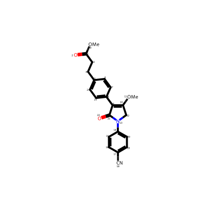 COC(=O)CCc1ccc(C2=C(OC)CN(c3ccc(C#N)cc3)C2=O)cc1